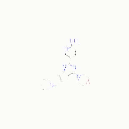 Nc1ccc(-c2nc(N3CCOCC3)c3sc(CN4CCSCC4)cc3n2)cn1